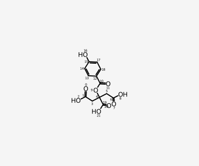 O=C(O)CC(CC(=O)O)(OC(=O)c1ccc(O)cc1)C(=O)O